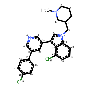 CN1CCCC(Cn2cc(-c3cncc(-c4ccc(Cl)cc4)c3)c3c(Cl)cccc32)C1